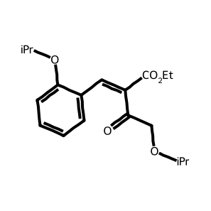 CCOC(=O)C(=Cc1ccccc1OC(C)C)C(=O)COC(C)C